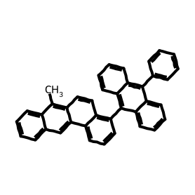 Cc1c2ccccc2cc2c1ccc1c(-c3c4ccccc4c(-c4ccccc4)c4ccccc34)cccc12